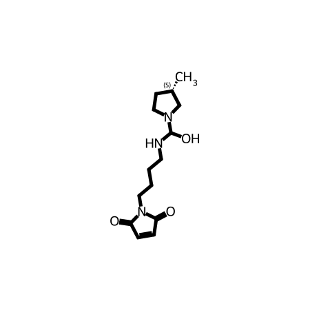 C[C@H]1CCN(C(O)NCCCCN2C(=O)C=CC2=O)C1